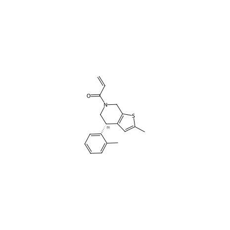 C=CC(=O)N1Cc2sc(C)cc2[C@H](c2ccccc2C)C1